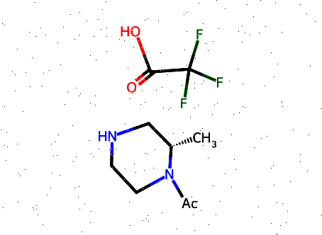 CC(=O)N1CCNC[C@@H]1C.O=C(O)C(F)(F)F